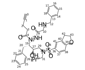 C#CCCC(=O)N(NC(=O)CNCc1ccccc1)[C@@H](Cc1ccccc1)[C@H](O)CN(CC(C)C)S(=O)(=O)c1ccc2c(c1)CCO2